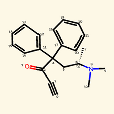 C#CC(=O)C(C[C@H](C)N(C)C)(c1ccccc1)c1ccccc1